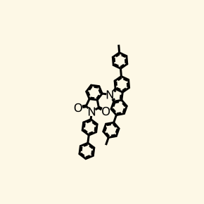 Cc1ccc(-c2ccc3c4ccc(-c5ccc(C)cc5)cc4n(-c4cccc5c4C(=O)N(c4ccc(-c6ccccc6)cc4)C5=O)c3c2)cc1